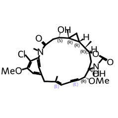 COc1cc2cc(c1Cl)N(C)C(=O)C[C@H](O)[C@]1(C)C[C@@H]1[C@@H](C)[C@@H]1C[C@@](O)(NC(=O)O1)[C@H](OC)/C=C/C=C(\C)C2